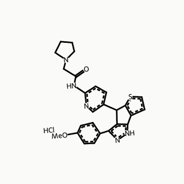 COc1ccc(-c2n[nH]c3c2C(c2ccc(NC(=O)CN4CCCC4)nc2)c2sccc2-3)cc1.Cl